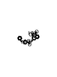 O=C(NCC1Cc2cccc3c(=O)[nH]c(=O)n(c23)C1)C1CCN(Cc2ccccc2)CC1